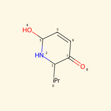 CC(C)C1NC(O)C=CC1=O